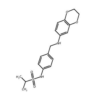 CC(C)S(=O)(=O)Nc1ccc(CNc2ccc3c(c2)OCCO3)cc1